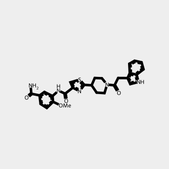 COc1ccc(C(N)=O)cc1NC(=O)c1csc(C2CCN(C(=O)Cc3c[nH]c4ccccc34)CC2)n1